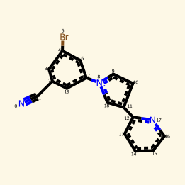 N#Cc1cc(Br)cc(-n2ccc(-c3ccccn3)c2)c1